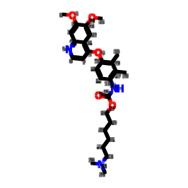 COc1cc2nccc(Oc3ccc(NC(=O)OCCCCCCN(C)C)c(C)c3C)c2cc1OC